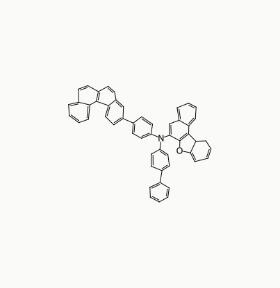 C1=CCC2C(=C1)Oc1c(N(c3ccc(-c4ccccc4)cc3)c3ccc(-c4ccc5c(ccc6ccc7ccccc7c65)c4)cc3)cc3ccccc3c12